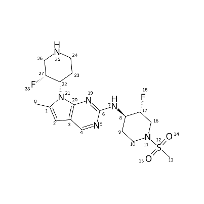 Cc1cc2cnc(N[C@@H]3CCN(S(C)(=O)=O)C[C@H]3F)nc2n1[C@H]1CCNC[C@H]1F